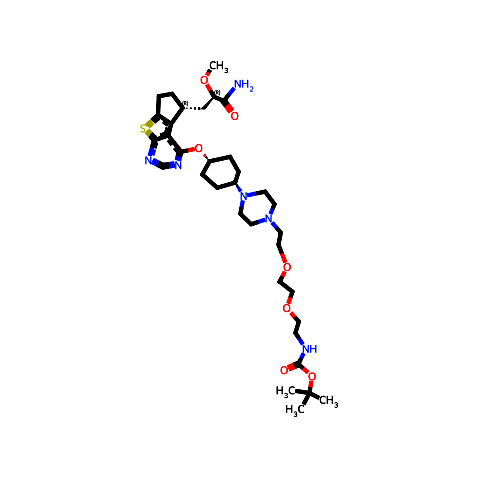 CO[C@H](C[C@H]1CCc2sc3ncnc(O[C@H]4CC[C@H](N5CCN(CCOCCOCCNC(=O)OC(C)(C)C)CC5)CC4)c3c21)C(N)=O